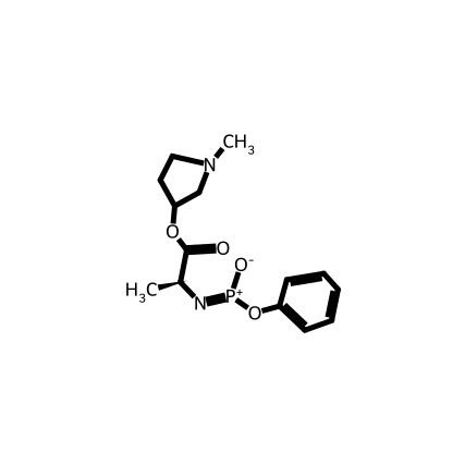 C[C@H](N=[P+]([O-])Oc1ccccc1)C(=O)OC1CCN(C)C1